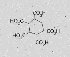 O=C(O)C1CC(C(=O)O)C(C(=O)O)C(C(=O)O)C1C(=O)O